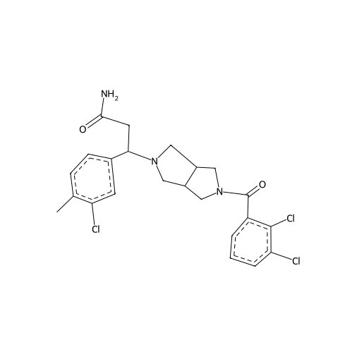 Cc1ccc(C(CC(N)=O)N2CC3CN(C(=O)c4cccc(Cl)c4Cl)CC3C2)cc1Cl